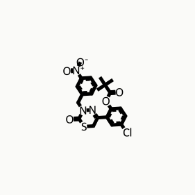 CC(C)(C)C(=O)Oc1ccc(Cl)cc1C1=NN(Cc2cccc([N+](=O)[O-])c2)C(=O)SC1